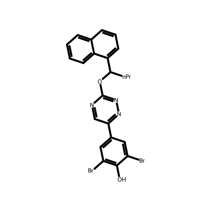 CCCC(Oc1ncc(-c2cc(Br)c(O)c(Br)c2)nn1)c1cccc2ccccc12